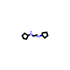 C1CCC(NCCNC2CCCC2)C1